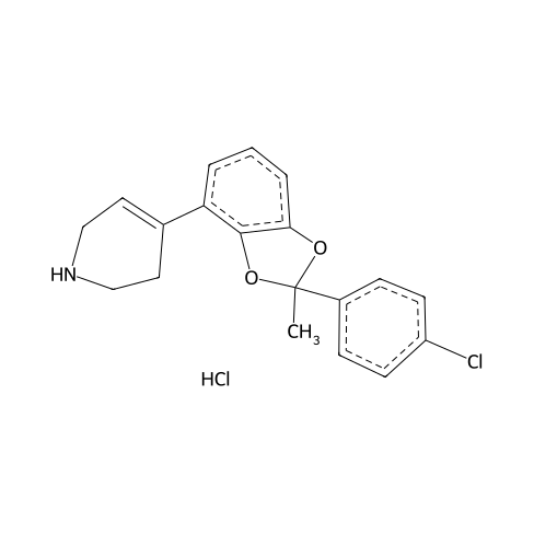 CC1(c2ccc(Cl)cc2)Oc2cccc(C3=CCNCC3)c2O1.Cl